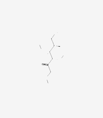 O=C(COCl)[C@@H](OCl)[C@H](OCl)[C@H](O)CO